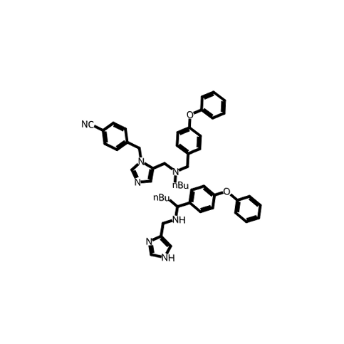 CCCCC(NCc1c[nH]cn1)c1ccc(Oc2ccccc2)cc1.CCCCN(Cc1ccc(Oc2ccccc2)cc1)Cc1cncn1Cc1ccc(C#N)cc1